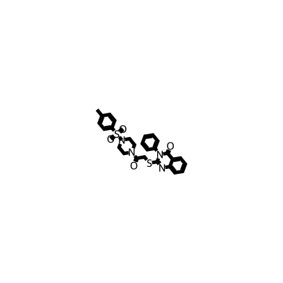 Cc1ccc(S(=O)(=O)N2CCN(C(=O)CSc3nc4ccccc4c(=O)n3-c3ccccc3)CC2)cc1